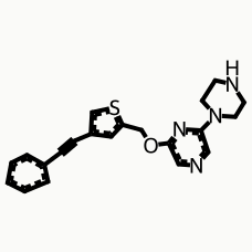 C(#Cc1csc(COc2cncc(N3CCNCC3)n2)c1)c1ccccc1